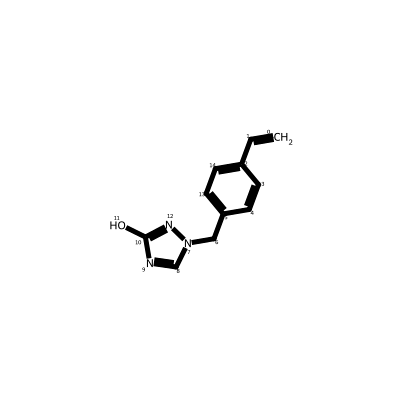 C=Cc1ccc(Cn2cnc(O)n2)cc1